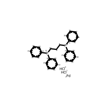 Cl.Cl.[Pd].c1ccc(P(CCCP(c2ccccc2)c2ccccc2)c2ccccc2)cc1